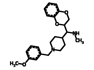 CNC(C1CCN(Cc2cccc(OC)c2)CC1)C1COc2ccccc2O1